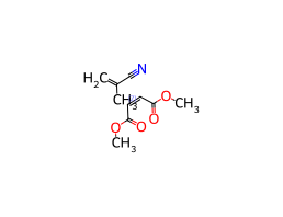 C=C(C)C#N.COC(=O)/C=C\C(=O)OC